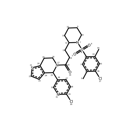 Cc1cc(S(=O)(=O)N2CCCCC2CCC(=O)N2CCc3sccc3C2c2ccc(Cl)nc2)c(C)cc1Cl